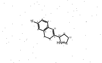 Fc1ccc2c(c1)CCC(C1CCCN1)=C2